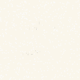 CC(=N)NCCCC[C@H](N)C(C)(F)CO